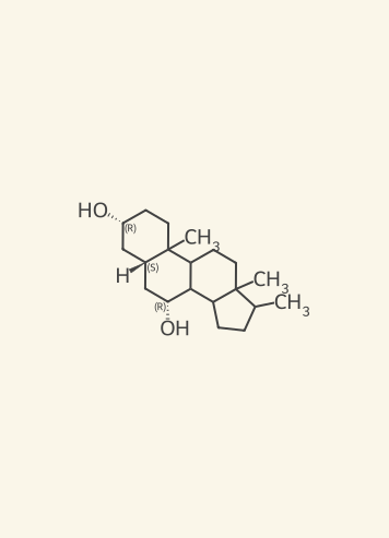 CC1CCC2C3C(CCC12C)C1(C)CC[C@@H](O)C[C@H]1C[C@H]3O